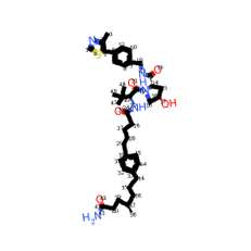 Cc1ncsc1-c1ccc(CNC(=O)[C@@H]2C[C@@H](O)CN2C(=O)[C@@H](NC(=O)CCCCc2ccc(CCC[C@@H](C)CCC(N)=O)cc2)C(C)(C)C)cc1